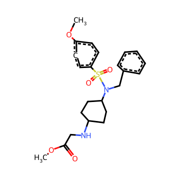 COC(=O)CNC1CCC(N(Cc2ccccc2)S(=O)(=O)c2ccc(OC)cc2)CC1